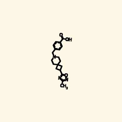 Cc1noc(C2CC3(CCN(Cc4ccc(C(=O)O)cc4)CC3)C2)n1